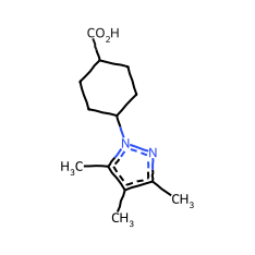 Cc1nn(C2CCC(C(=O)O)CC2)c(C)c1C